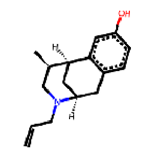 C=CCN1C[C@@H](C)[C@@H]2C[C@H]1Cc1ccc(O)cc12